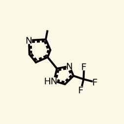 Cc1cc(-c2nc(C(F)(F)F)c[nH]2)ccn1